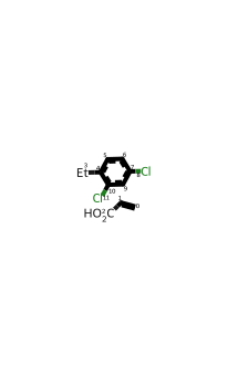 C=CC(=O)O.CCc1ccc(Cl)cc1Cl